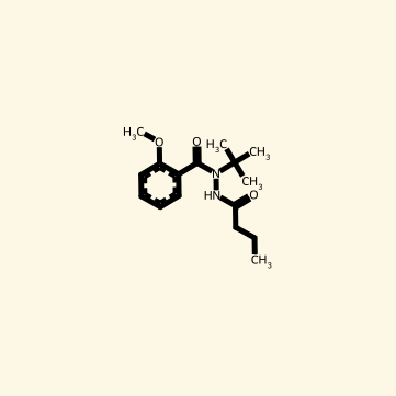 CCCC(=O)NN(C(=O)c1ccccc1OC)C(C)(C)C